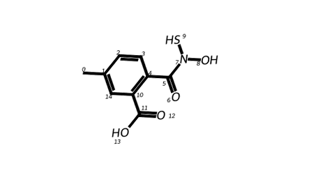 Cc1ccc(C(=O)N(O)S)c(C(=O)O)c1